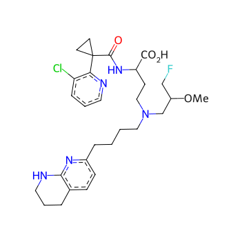 COC(CF)CN(CCCCc1ccc2c(n1)NCCC2)CCC(NC(=O)C1(c2ncccc2Cl)CC1)C(=O)O